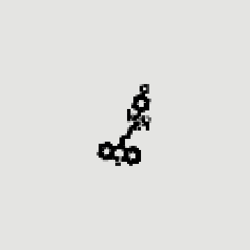 CN=S(=O)(NCCC=C1c2ccccc2Sc2ccccc21)c1ccc(Cl)cc1